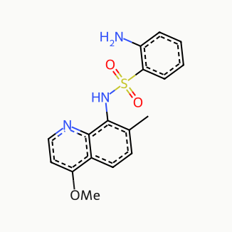 COc1ccnc2c(NS(=O)(=O)c3ccccc3N)c(C)ccc12